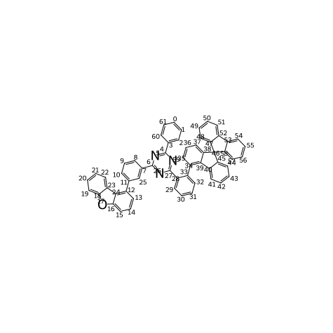 c1ccc(-c2nc(-c3cccc(-c4cccc5oc6ccccc6c45)c3)nc(-c3ccccc3-c3cccc4c3-c3ccccc3C43c4ccccc4-c4ccccc43)n2)cc1